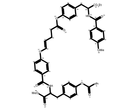 CCCC(=O)Oc1ccc(CC(NC(=O)c2ccc(O/C=C/CCC(=O)Oc3ccc(CC(NC(=O)c4ccc(OC)cc4)C(=O)OCC)cc3)cc2)C(=O)OC)cc1